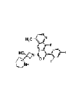 Cc1cnnc2c(F)c(N(I)c3ccc(I)cc3F)c(C(=O)N3CC(O)([C@@H]4CCCCN4)C3)cc12